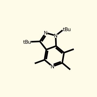 Cc1nc(C)c2c(C(C)(C)C)nn(C(C)(C)C)c2c1C